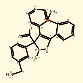 CCC(=O)C1(c2cccc(CN)c2)C(c2ccncc2)=C(c2ccccc2CN)ON1N